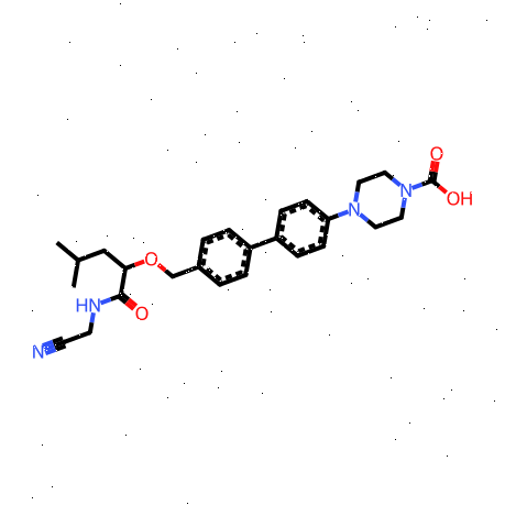 CC(C)CC(OCc1ccc(-c2ccc(N3CCN(C(=O)O)CC3)cc2)cc1)C(=O)NCC#N